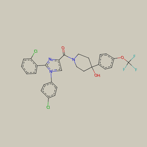 O=C(c1cn(-c2ccc(Cl)cc2)c(-c2ccccc2Cl)n1)N1CCC(O)(c2ccc(OC(F)(F)F)cc2)CC1